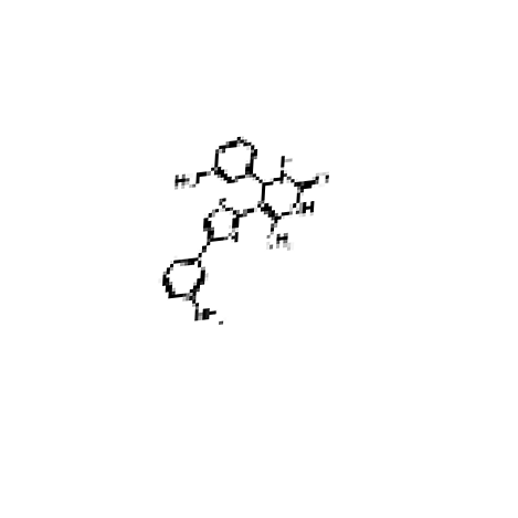 CC1=C(c2nc(-c3cccc(N)c3)cs2)C(c2cccc(O)c2)NC(=O)N1